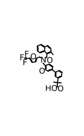 COc1cc(-c2cccc(C(C)(C)C(=O)O)c2)ccc1CN(Cc1ccc(C(F)(F)F)o1)C(=O)c1c(C)ccc2ccccc12